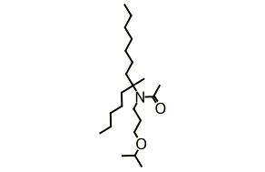 CCCCCCCC(C)(CCCCC)N(CCCOC(C)C)C(C)=O